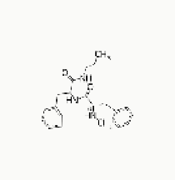 CCCNC(=O)C(Cc1ccccc1)NC(=O)[C@H](Cc1ccccc1)NC